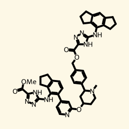 COC(=O)c1nnc(Nc2c(-c3ccnc(OC4CCN(C)C(c5ccc(COC(=O)c6nnc(Nc7c8c(cc9c7CCC9)CCC8)[nH]6)cc5)C4)c3)ccc3c2CCC3)[nH]1